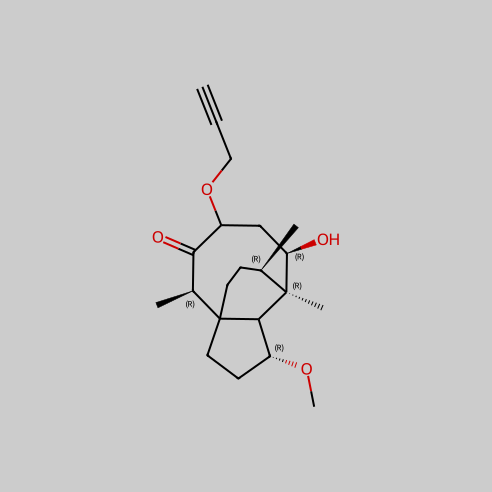 C#CCOC1C[C@@H](O)[C@@]2(C)C3[C@H](OC)CCC3(CC[C@H]2C)[C@@H](C)C1=O